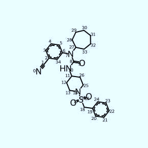 N#Cc1cccc(N(C(=O)NC2CCN(S(=O)(=O)Cc3ccccc3)CC2)C2CCCCCC2)c1